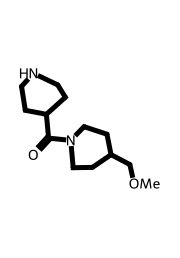 COCC1CCN(C(=O)C2CCNCC2)CC1